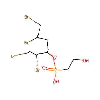 O=P(O)(CCO)OC(CC(Br)CBr)C(Br)CBr